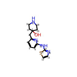 OC1(Cc2cccc(Nc3nccs3)n2)CCNCC1